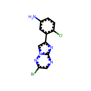 Nc1ccc(Cl)c(-c2cn3nc(Br)cnc3n2)c1